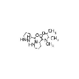 CC(=O)[C@H](C)N(C)C(=O)[C@H]1CCCNN1C(=O)[C@@H]1CCCNN1